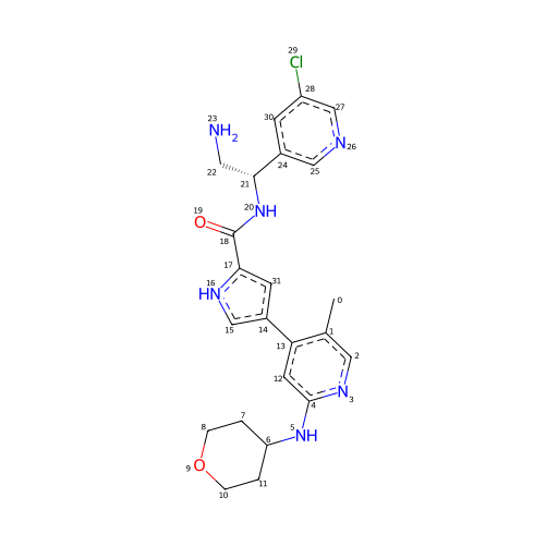 Cc1cnc(NC2CCOCC2)cc1-c1c[nH]c(C(=O)N[C@H](CN)c2cncc(Cl)c2)c1